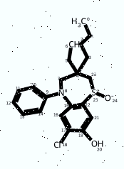 CCCCC1(CC)CN(c2ccccc2)c2cc(Cl)c(O)cc2[S+]([O-])C1